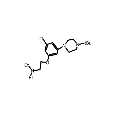 CCN(CC)CCOc1cc(Cl)cc(N2CCN(C(C)(C)C)CC2)c1